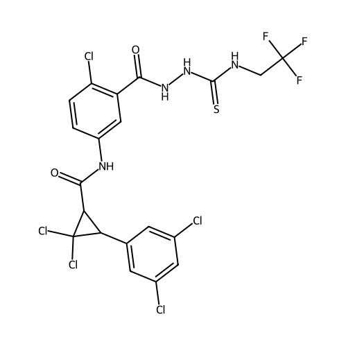 O=C(NNC(=S)NCC(F)(F)F)c1cc(NC(=O)C2C(c3cc(Cl)cc(Cl)c3)C2(Cl)Cl)ccc1Cl